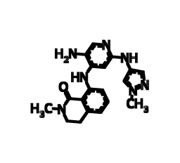 CN1CCc2cccc(Nc3cc(Nc4cnn(C)c4)ncc3N)c2C1=O